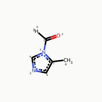 [3H]C(=O)n1cncc1C